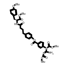 CC(C)(C)OC(=O)N=C(N)N(C(=O)OC(C)(C)C)c1ccc(C(=O)Oc2ccc(CCCC(=O)N[C@@H](Cc3ccc(OC(C)(C)C)cc3)C(=O)OC(C)(C)C)cc2)cc1